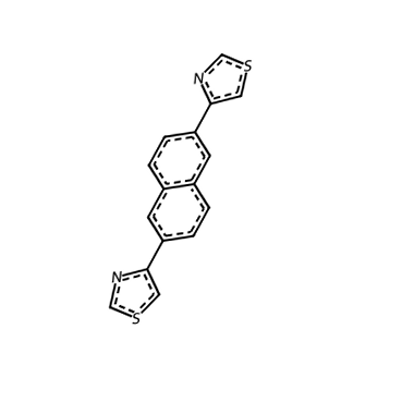 c1nc(-c2ccc3cc(-c4cscn4)ccc3c2)cs1